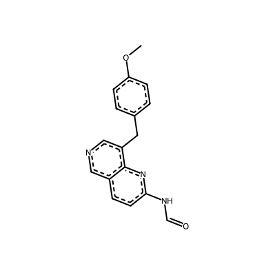 COc1ccc(Cc2cncc3ccc(NC=O)nc23)cc1